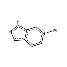 CC(C)[n+]1ccc2cn[nH]c2c1